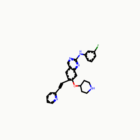 Fc1cccc(Nc2ncc3cc(C#Cc4ccccn4)c(OC4CCNCC4)cc3n2)c1